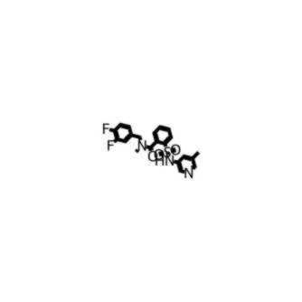 Cc1cncc(NS(=O)(=O)c2ccccc2C(=O)N(C)Cc2ccc(F)c(F)c2)c1